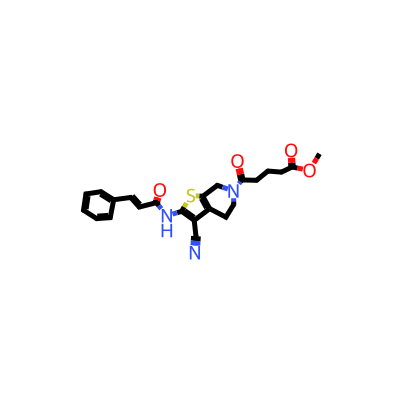 COC(=O)CCCC(=O)N1CCc2c(sc(NC(=O)C=Cc3ccccc3)c2C#N)C1